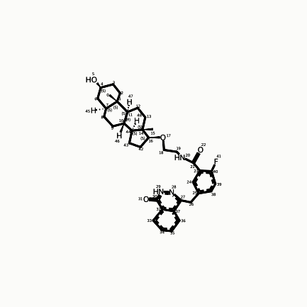 C[C@]12CC[C@H](O)C[C@@H]1CC[C@@H]1[C@@H]2CC[C@]2(C)[C@@H](OCCNC(=O)c3cc(Cc4n[nH]c(=O)c5ccccc45)ccc3F)CC[C@@H]12